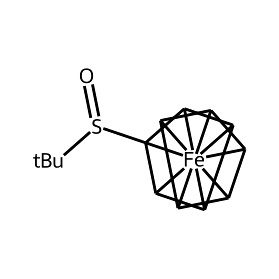 CC(C)(C)S(=O)[C]12[CH]3[CH]4[CH]5[CH]1[Fe]45321678[CH]2[CH]1[CH]6[CH]7[CH]28